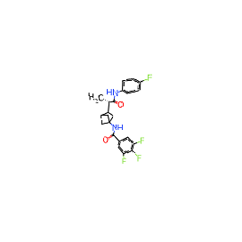 C[C@H](C(=O)Nc1ccc(F)cc1)C1CC2(NC(=O)c3cc(F)c(F)c(F)c3)CC1C2